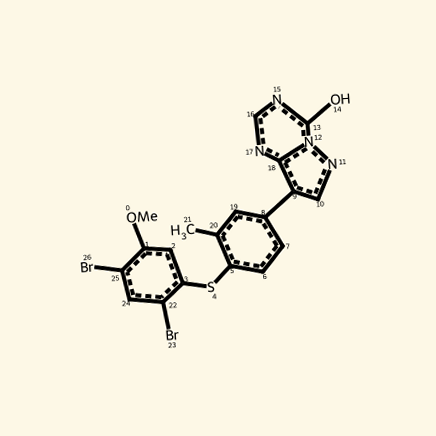 COc1cc(Sc2ccc(-c3cnn4c(O)ncnc34)cc2C)c(Br)cc1Br